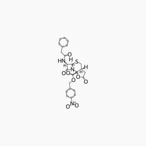 O=C(Cc1ccccc1)N[C@@H]1C(=O)N2[C@@H]1SC[C@@H]1CC(=O)O[C@@]12C(=O)OCc1ccc([N+](=O)[O-])cc1